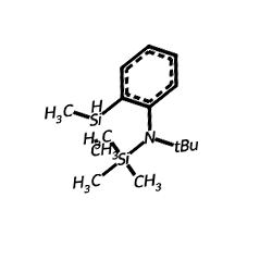 C[SiH](C)c1ccccc1N(C(C)(C)C)[Si](C)(C)C